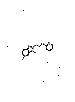 Cc1ccc2nc(CCOc3ccccn3)n(C)c2c1